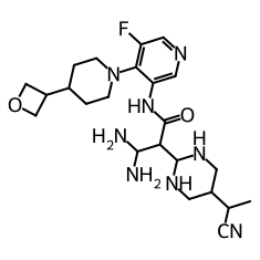 CC(C#N)C1CNC(C(C(=O)Nc2cncc(F)c2N2CCC(C3COC3)CC2)C(N)N)NC1